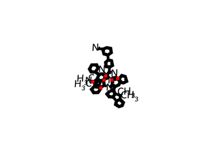 CC1(C)c2ccccc2-c2ccc3c(c21)c1ccccc1n3-c1ccc(C#N)cc1-c1nc(-c2ccccc2)nc(-c2ccc(-c3cccc(C#N)c3)cc2-n2c3ccccc3c3c4c(ccc32)-c2ccccc2C4(C)C)n1